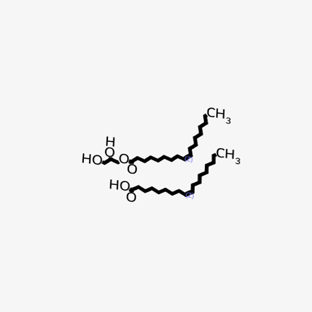 CCCCCCCC/C=C\CCCCCCCC(=O)O.CCCCCCCC/C=C\CCCCCCCC(=O)OCC(O)CO